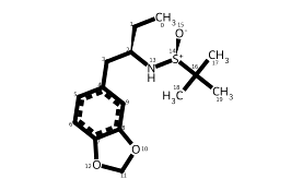 CC[C@H](Cc1ccc2c(c1)OCO2)N[S@@+]([O-])C(C)(C)C